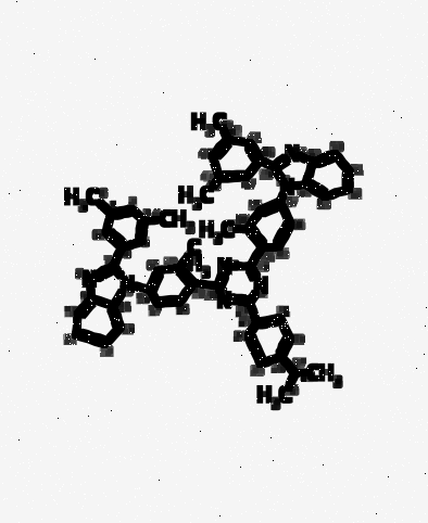 Cc1cc(C)cc(-c2nc3ccccc3n2-c2ccc(-c3nc(-c4ccc(C(C)C)cc4)nc(-c4ccc(-n5c(-c6cc(C)cc(C)c6)nc6ccccc65)cc4C)n3)c(C)c2)c1